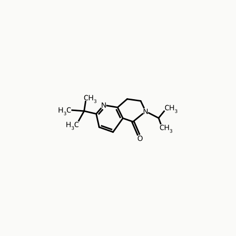 CC(C)N1CCc2nc(C(C)(C)C)ccc2C1=O